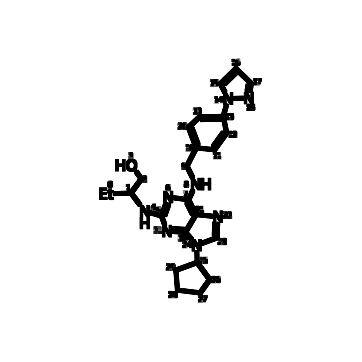 CCC(CO)Nc1nc(NCc2ccc(-n3cccn3)cc2)c2ncn(C3CCCC3)c2n1